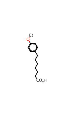 CCOc1ccc(CCCCCCC(=O)O)cc1